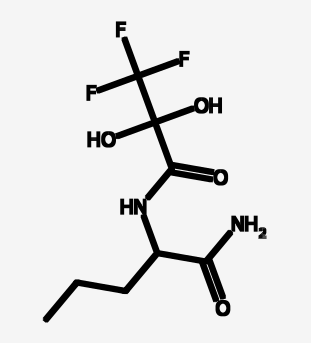 CCCC(NC(=O)C(O)(O)C(F)(F)F)C(N)=O